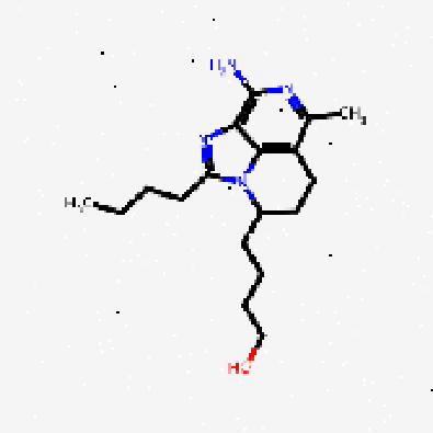 CCCCc1nc2c(N)nc(C)c3c2n1C(CCCCO)CC3